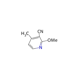 COc1nccc(C)c1C#N